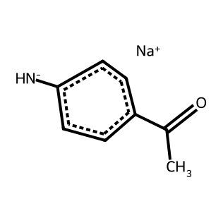 CC(=O)c1ccc([NH-])cc1.[Na+]